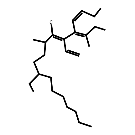 C=CC(=C(/Cl)C(C)CCC(CC)CCCCCCC)/C(/C=C\CC)=C(\C)CC